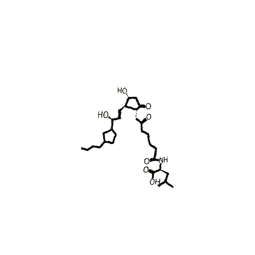 CCCCC1CCC([C@@H](O)/C=C/[C@H]2[C@H](O)CC(=O)[C@@H]2CC(=O)CCCCC(=O)N[C@@H](CC(C)C)C(=O)O)C1